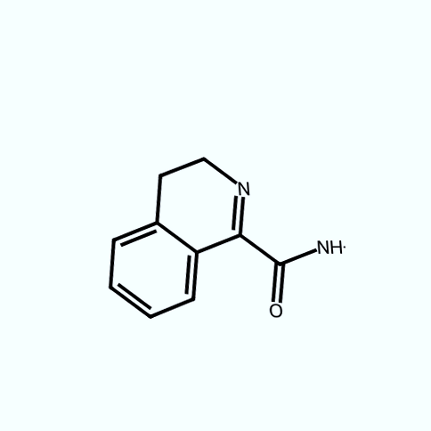 [NH]C(=O)C1=NCCc2ccccc21